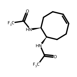 O=C(N[C@H]1CC/C=C\CC[C@H]1NC(=O)C(F)(F)F)C(F)(F)F